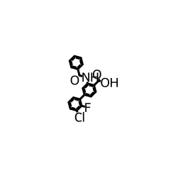 O=C(Nc1cc(-c2cccc(Cl)c2F)ccc1C(=O)O)c1ccccc1